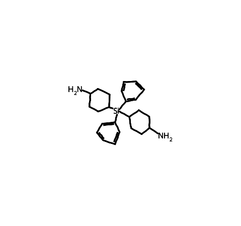 NC1CCC([Si](c2ccccc2)(c2ccccc2)C2CCC(N)CC2)CC1